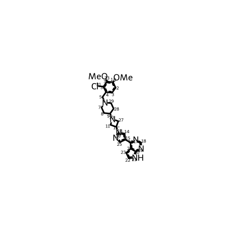 COc1ccc(CN2CCC(N3C[C](n4cc(-c5ncnc6[nH]ccc56)cn4)C3)CC2)c(Cl)c1OC